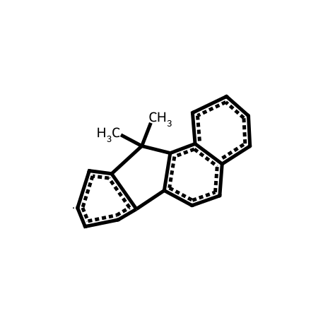 CC1(C)c2c[c]ccc2-c2ccc3ccccc3c21